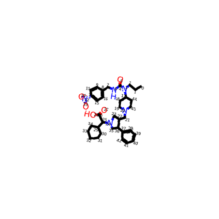 CCCN(C(=O)NCc1ccc([N+](=O)[O-])cc1)C1CCN(CC2CN(C(C(=O)O)C3CCCCC3)CC2c2ccccc2)CC1